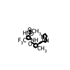 Cc1ccc(C(=O)Nc2cc(NS(C)(=O)=O)cc(C(F)(F)F)c2)cc1C#Cc1cnc2cccnn12